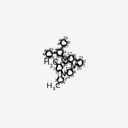 Cc1ccc(N(c2ccc(C)cc2)c2cccc(-n3c4ccccc4c4ccc5c(ccn5-c5cc(-c6ccccc6)cc(-c6ccccc6)c5)c43)c2)cc1